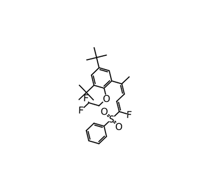 CC(=CC=C(F)S(=O)(=O)c1ccccc1)c1cc(C(C)(C)C)cc(C(C)(C)C)c1OCC(F)F